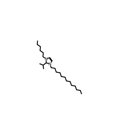 CCCCCCCCCCCCCN1C=CN(CCCCCC)C1C(C)C